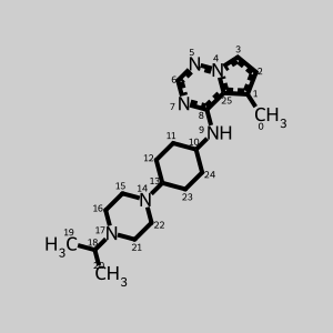 Cc1ccn2ncnc(NC3CCC(N4CCN(C(C)C)CC4)CC3)c12